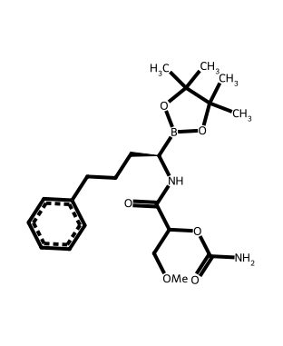 COCC(OC(N)=O)C(=O)N[C@@H](CCCc1ccccc1)B1OC(C)(C)C(C)(C)O1